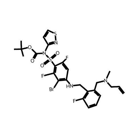 C=CCN(C)Cc1cccc(F)c1CNc1cc(F)c(S(=O)(=O)N(C(=O)OC(C)(C)C)c2ccsn2)c(F)c1Br